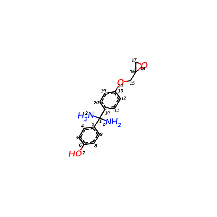 NC(N)(c1ccc(O)cc1)c1ccc(OCC2CO2)cc1